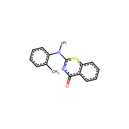 CCCN(c1nc(=O)c2ccccc2s1)c1ccccc1C